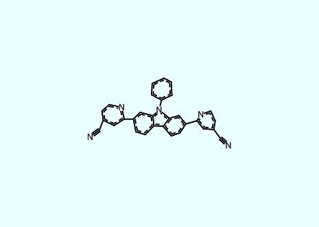 N#Cc1ccnc(-c2ccc3c4ccc(-c5cc(C#N)ccn5)cc4n(-c4ccccc4)c3c2)c1